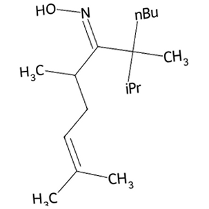 CCCCC(C)(/C(=N/O)C(C)CC=C(C)C)C(C)C